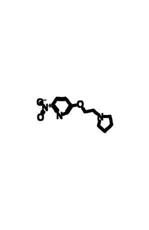 O=[N+]([O-])c1ccc(OCCN2CCCC2)cn1